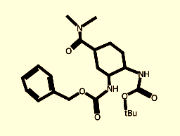 CN(C)C(=O)C1CCC(NC(=O)OC(C)(C)C)C(NC(=O)OCc2ccccc2)C1